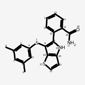 Cc1cc(C)cc(Sc2c(-c3ccccc3C(N)=O)[nH]c3ccsc23)c1